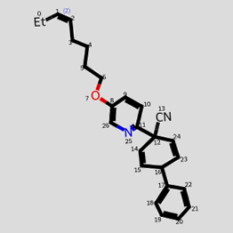 CC/C=C\CCCCOc1ccc(C2(C#N)C=CC(c3ccccc3)C=C2)nc1